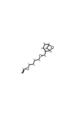 C=COCCCCOCC1CCC2CC1O2